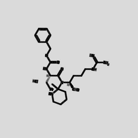 CC(C)C[C@H](NC(=O)OCc1ccccc1)C(=O)N([C@H](C=O)CCCNC(=N)N)C1(C)CCCCN1.Cl